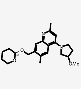 COC1CCN(c2cc(C)nc3cc(CO[C@H]4CCCCO4)c(C)cc23)C1